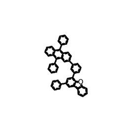 c1ccc(-c2cc(-c3cccc(-c4ccc5c(-c6ccccc6)c6ccccc6c(-c6ccccc6)c5c4)c3)c3oc4ccccc4c3c2)cc1